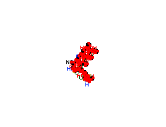 N#Cc1cccc(-c2c(O)c3c(-c4ccc5c(c4)CCCC5)c(Cl)sc3[nH]c2=O)c1.O=c1[nH]c2sc(Cl)c(-c3ccc4c(c3)CCCC4)c2c(O)c1-c1cccnc1.O=c1[nH]c2sc(Cl)c(-c3ccc4c(c3O)CCC4)c2c(O)c1-c1ccccc1F.O=c1[nH]c2sc(Cl)c(-c3ccc4c(c3O)CCCC4)c2c(O)c1-c1ccccc1.Oc1nc2sc(Cl)c(-c3ccc4c(c3O)CCCC4)c2c(O)c1-c1ccccc1